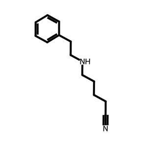 N#CCCCCNCCc1ccccc1